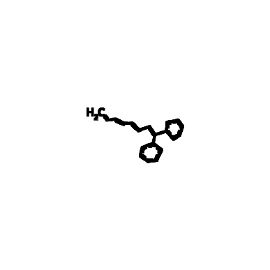 C=C/C=C/C=C/C=C(c1ccccc1)c1ccccc1